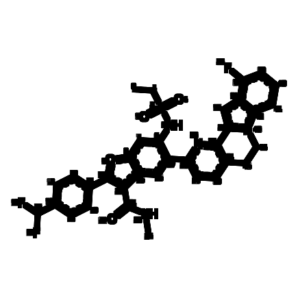 CCS(=O)(=O)Nc1cc2oc(-c3ccc(C(F)F)cc3)c(C(=O)NC)c2cc1-c1ccc2c(n1)-c1cc3c(F)cccc3n1CC2